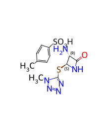 Cc1ccc(S(=O)(=O)O)cc1.Cn1nnnc1S[C@@H]1NC(=O)[C@H]1N